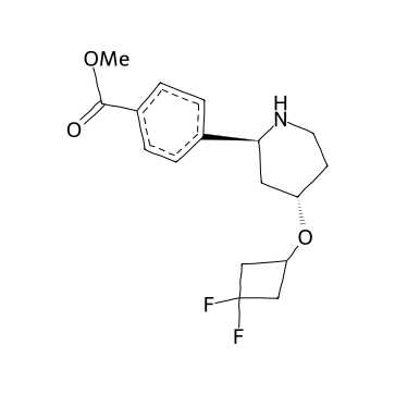 COC(=O)c1ccc([C@@H]2C[C@@H](OC3CC(F)(F)C3)CCN2)cc1